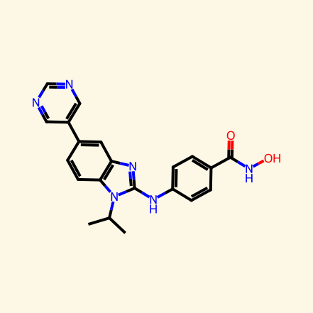 CC(C)n1c(Nc2ccc(C(=O)NO)cc2)nc2cc(-c3cncnc3)ccc21